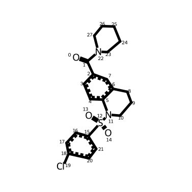 O=C(c1ccc2c(c1)CCCN2S(=O)(=O)c1ccc(Cl)cc1)N1CCCCC1